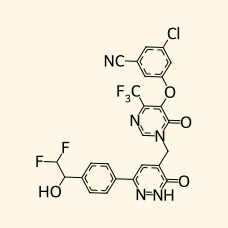 N#Cc1cc(Cl)cc(Oc2c(C(F)(F)F)ncn(Cc3cc(-c4ccc(C(O)C(F)F)cc4)n[nH]c3=O)c2=O)c1